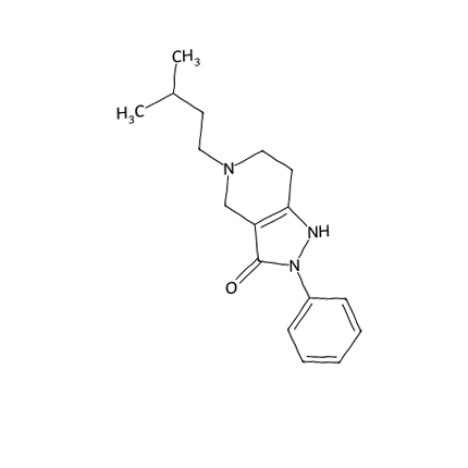 CC(C)CCN1CCc2[nH]n(-c3ccccc3)c(=O)c2C1